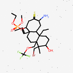 C/C=C/C12CCC3(COC(F)(F)F)C(C)(CBr)C(O)CCC3(CC)C1CC(N)C(=S)CC2OP(=O)(OC)OCC